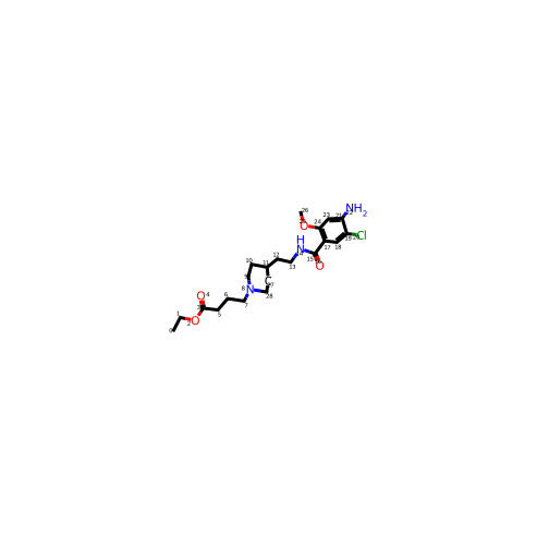 CCOC(=O)CCCN1CCC(CCNC(=O)c2cc(Cl)c(N)cc2OC)CC1